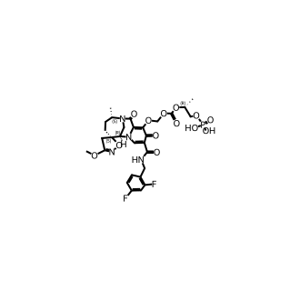 COC1=NO[C@@]2(CC[C@H](C)N3C[C@H]2n2cc(C(=O)NCc4ccc(F)cc4F)c(=O)c(OCOC(=O)O[C@H](C)COP(=O)(O)O)c2C3=O)C1